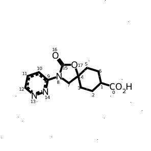 O=C(O)C1CCC2(CC1)CN(c1cccnn1)C(=O)O2